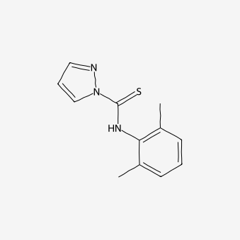 Cc1cccc(C)c1NC(=S)n1cccn1